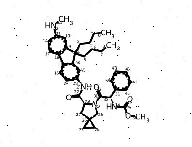 CCCCC1(CCCC)c2cc(NC)ccc2-c2ccc(NC(=O)[C@@H]3CC4(CC4)CN3C(=O)[C@H](NC(=O)OC)c3ccccc3)cc21